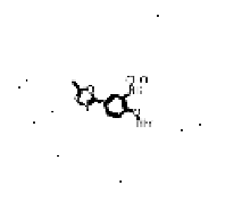 CCCOc1ccc(-c2nnc(C)o2)cc1NC=O